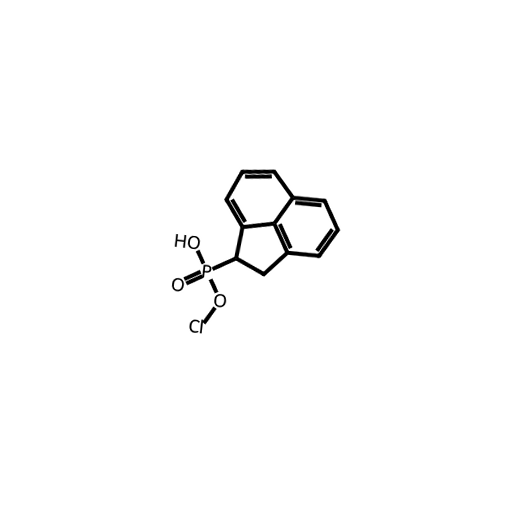 O=P(O)(OCl)C1Cc2cccc3cccc1c23